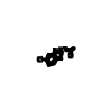 CC(=O)Nc1nc2cc(Cl)ccc2s1